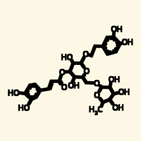 CC1OC(OCC2OC(OCCc3ccc(O)c(O)c3)C(O)C(OC(=O)/C=C/c3ccc(O)c(O)c3)C2O)C(O)C(O)C1O